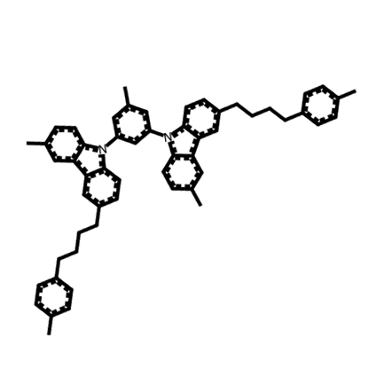 Cc1ccc(CCCCc2ccc3c(c2)c2cc(C)ccc2n3-c2cc(C)cc(-n3c4ccc(C)cc4c4cc(CCCCc5ccc(C)cc5)ccc43)c2)cc1